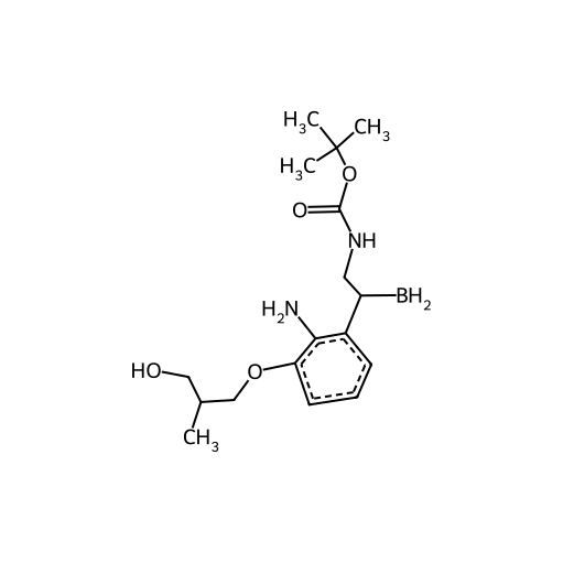 BC(CNC(=O)OC(C)(C)C)c1cccc(OCC(C)CO)c1N